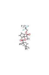 CCC(C(=O)OCC(F)(F)C(F)(F)F)C1(OC(=O)C(C)(CC(C)(C)CC)C(C)C)CCCC1